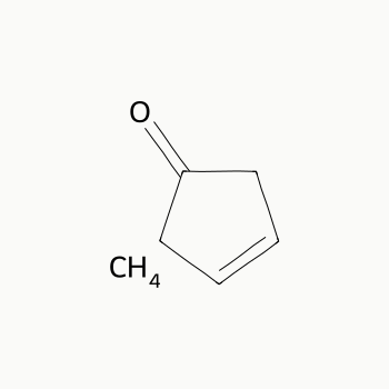 C.O=C1CC=CC1